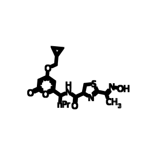 CCCC(NC(=O)C1CSC(/C(C)=N/O)=N1)c1cc(OCC2CC2)cc(=O)o1